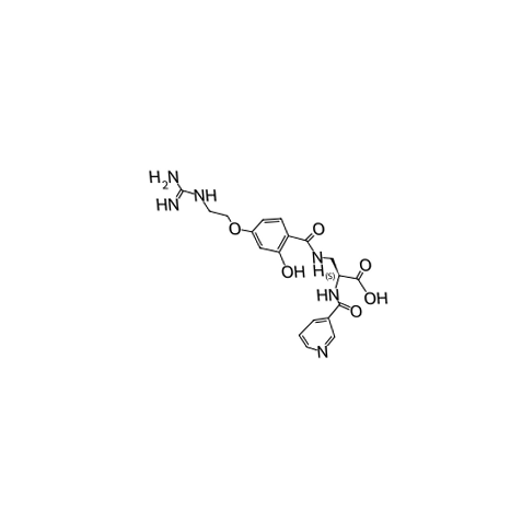 N=C(N)NCCOc1ccc(C(=O)NC[C@H](NC(=O)c2cccnc2)C(=O)O)c(O)c1